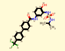 CC(C)NS(=O)(=O)Nc1cc(NC(=O)c2ccc(-c3ccc(C(F)(F)F)cc3)cc2)ccc1O